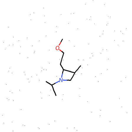 COCCC1C(C)CN1C(C)C